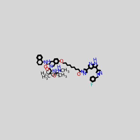 CN[C@H](C)C(=O)N[C@@H](C(=O)N1Cc2cc(OCCCCCCCCC(=O)n3cc(-c4cnc5[nH]cc(-c6cnn(Cc7cccc(F)c7)c6)c5c4)cn3)ccc2C[C@@H]1C(=O)N[C@H]1CCCc2ccccc21)C(C)(C)C